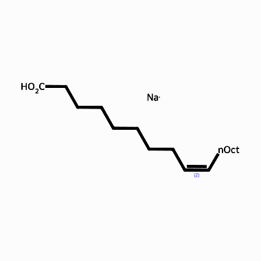 CCCCCCCC/C=C\CCCCCCCC(=O)O.[Na]